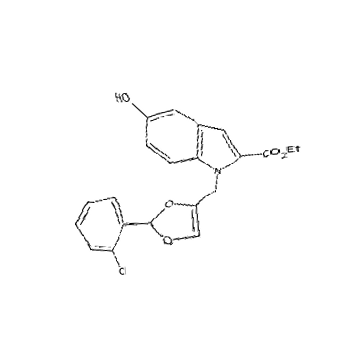 CCOC(=O)c1cc2cc(O)ccc2n1CC1=COC(c2ccccc2Cl)O1